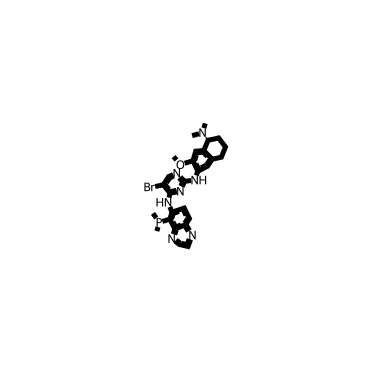 COc1cc2c(cc1Nc1ncc(Br)c(Nc3ccc4nccnc4c3P(C)C)n1)CCC[C@H]2N(C)C